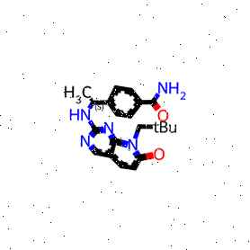 C[C@H](Nc1ncc2ccc(=O)n(CC(C)(C)C)c2n1)c1ccc(C(N)=O)cc1